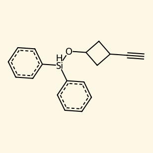 C#CC1CC(O[SiH](c2ccccc2)c2ccccc2)C1